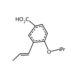 C/C=C/c1cc(C(=O)O)ccc1OC(C)C